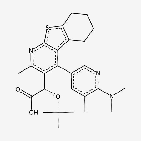 Cc1cc(-c2c([C@H](OC(C)(C)C)C(=O)O)c(C)nc3sc4c(c23)CCCC4)cnc1N(C)C